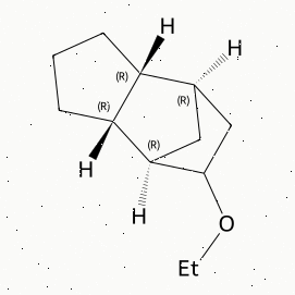 CCOC1C[C@H]2C[C@@H]1[C@@H]1CCC[C@H]21